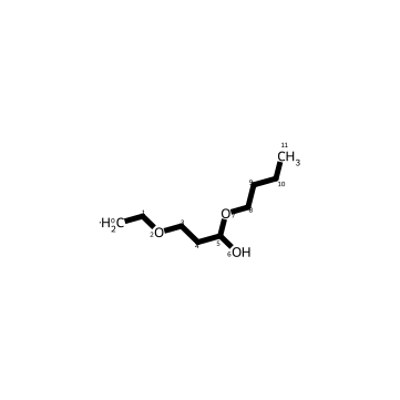 [CH2]COCCC(O)OCCCC